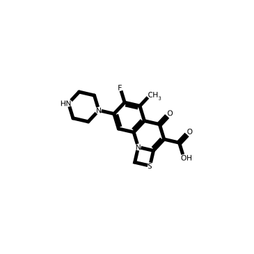 Cc1c(F)c(N2CCNCC2)cc2c1c(=O)c(C(=O)O)c1n2CS1